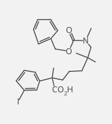 CN(CC(C)(C)CCCC(C)(C(=O)O)c1cccc(I)c1)C(=O)OCc1ccccc1